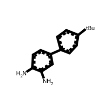 CC(C)(C)c1ccc(-c2ccc(N)c(N)c2)cc1